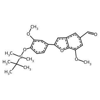 COc1cc(-c2cc3cc(C=O)cc(OC)c3o2)ccc1O[Si](C)(C)C(C)(C)C